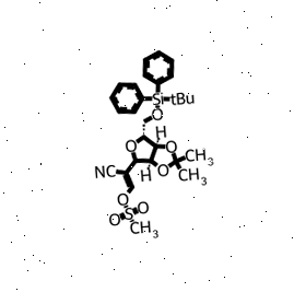 CC1(C)O[C@@H]2[C@@H](CO[Si](c3ccccc3)(c3ccccc3)C(C)(C)C)OC(C(C#N)=COS(C)(=O)=O)[C@@H]2O1